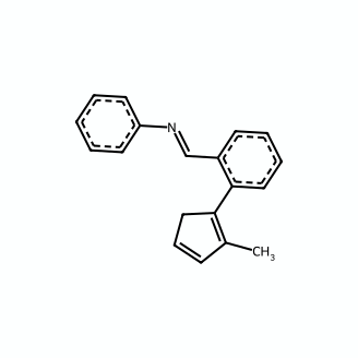 CC1=C(c2ccccc2C=Nc2ccccc2)CC=C1